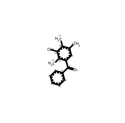 Cc1cc(C(=O)c2ccccc2)c(C)c(Cl)c1C